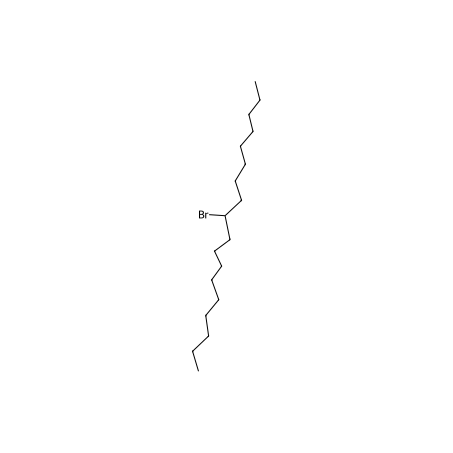 CCCCCCCCCC(Br)CCCCCCCC